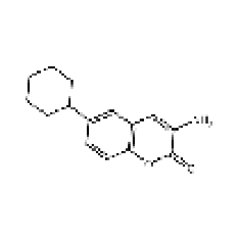 Nc1cc2cc(C3CCCCC3)ccc2oc1=O